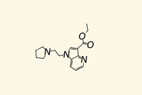 CCOC(=O)c1cn(CCN2CCCC2)c2cccnc12